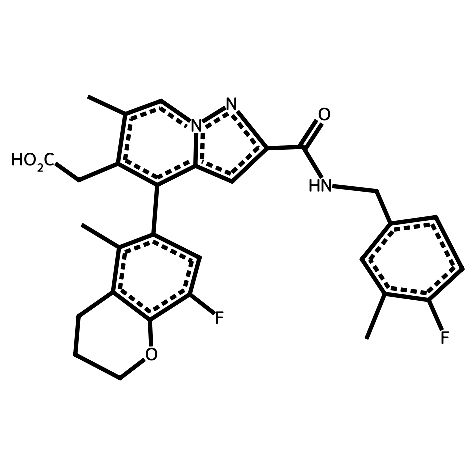 Cc1cc(CNC(=O)c2cc3c(-c4cc(F)c5c(c4C)CCCO5)c(CC(=O)O)c(C)cn3n2)ccc1F